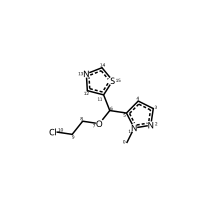 Cn1nccc1C(OCCCl)c1cncs1